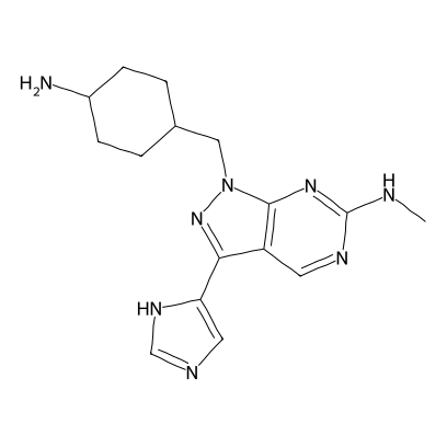 CNc1ncc2c(-c3cnc[nH]3)nn(CC3CCC(N)CC3)c2n1